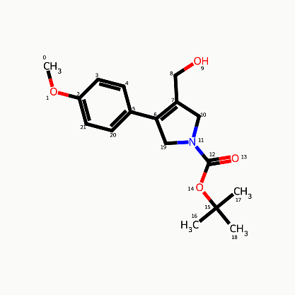 COc1ccc(C2=C(CO)CN(C(=O)OC(C)(C)C)C2)cc1